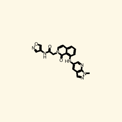 Cn1ncc2cc(Nc3cccc4ccn(CC(=O)Nc5cnoc5)c(=O)c34)cnc21